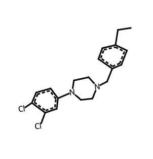 CCc1ccc(CN2CCN(c3ccc(Cl)c(Cl)c3)CC2)cc1